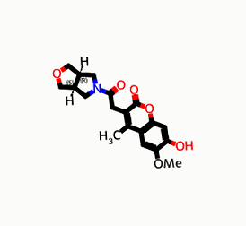 COc1cc2c(C)c(CC(=O)N3C[C@H]4COC[C@H]4C3)c(=O)oc2cc1O